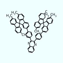 Cc1ccc2c(c1)C1(C3=C2C=CC(C)C3)c2cc(C)ccc2-c2ccc(-c3ccc(-c4nc5ccccc5nc4-c4ccc(-c5ccc6c(c5)C5(c7cc(C)ccc7-c7ccc(C)cc75)c5cc(C)ccc5-6)cc4)cc3)cc21